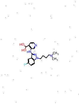 CN(C)CCCCn1nc(Nc2cnccc2C(O)O)c2cc(F)ccc21